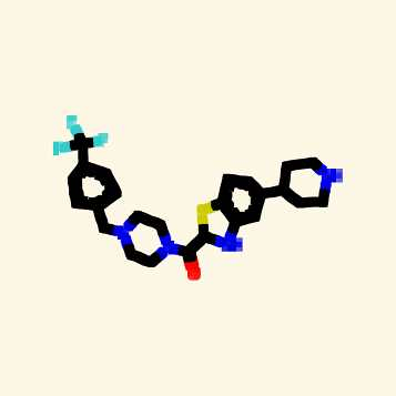 O=C(C1Nc2cc(C3CCNCC3)ccc2S1)N1CCN(Cc2ccc(C(F)(F)F)cc2)CC1